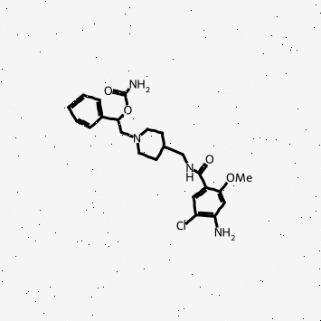 COc1cc(N)c(Cl)cc1C(=O)NCC1CCN(CC(OC(N)=O)c2ccccc2)CC1